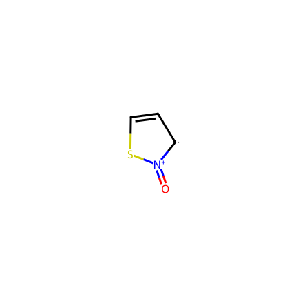 O=[N+]1[CH]C=CS1